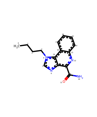 CCCCn1cnc2c(C(N)=O)nc3ccccc3c21